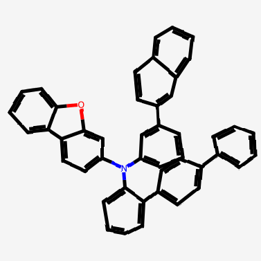 c1ccc(-c2ccc(-c3ccccc3N(c3cccc(-c4ccc5ccccc5c4)c3)c3ccc4c(c3)oc3ccccc34)cc2)cc1